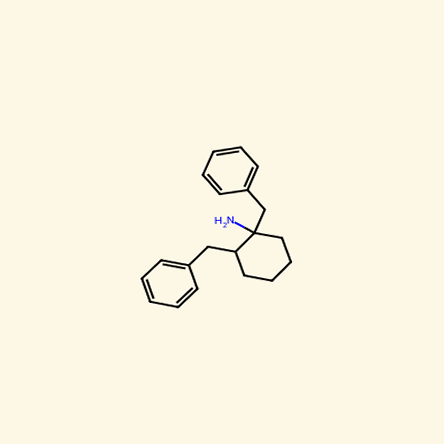 NC1(Cc2ccccc2)CCCCC1Cc1ccccc1